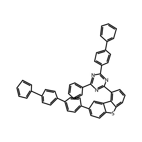 c1ccc(-c2ccc(-c3ccc(-c4ccc5sc6cccc(-c7nc(-c8ccccc8)nc(-c8ccc(-c9ccccc9)cc8)n7)c6c5c4)cc3)cc2)cc1